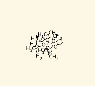 COC[C@H](OC)[C@@H](OC1CCCCC1)[C@H](OC(C)CC(C)C)[C@@H](COC(C)CC(C)C)OC(C)CC(C)C